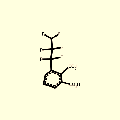 O=C(O)c1cccc(C(F)(F)C(F)(F)C(F)F)c1C(=O)O